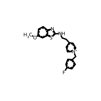 COc1ccc2nc(NCCc3cc[n+](Cc4ccc(F)cc4)cc3)sc2c1